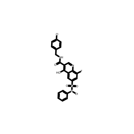 CCN(c1ccccc1)S(=O)(=O)c1cc(F)c2ncc(C(=O)NCc3ccc(Cl)cc3)c(O)c2c1